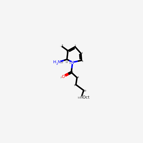 [CH2]C1=CC=CN(C(=O)CCCCCCCCCCC)C1N